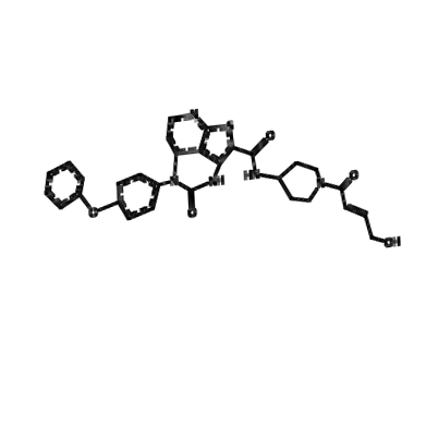 O=C(NC1CCN(C(=O)C=CCO)CC1)c1sc2nccc3c2c1NC(=O)N3c1ccc(Oc2ccccc2)cc1